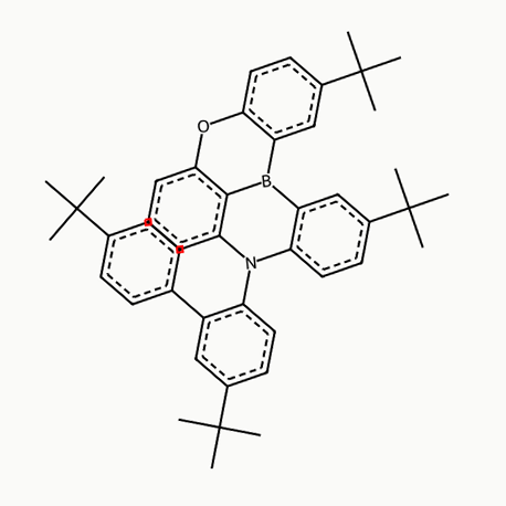 CC(C)(C)c1ccc(-c2cc(C(C)(C)C)ccc2N2c3ccc(C(C)(C)C)cc3B3c4cc(C(C)(C)C)ccc4Oc4cccc2c43)cc1